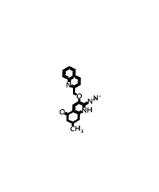 CC1CC(=O)c2cc(OCc3ccc4ccccc4n3)c(=[N+]=[N-])[nH]c2C1